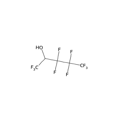 OC(C(F)(F)F)C(F)(F)C(F)(F)C(F)(F)F